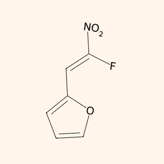 O=[N+]([O-])C(F)=Cc1ccco1